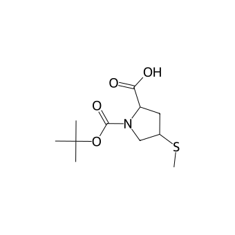 CSC1CC(C(=O)O)N(C(=O)OC(C)(C)C)C1